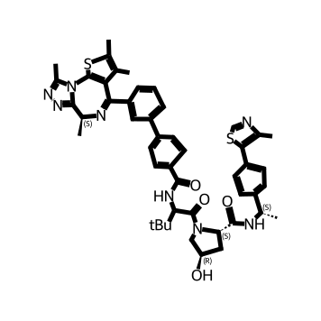 Cc1ncsc1-c1ccc([C@H](C)NC(=O)[C@@H]2C[C@@H](O)CN2C(=O)C(NC(=O)c2ccc(-c3cccc(C4=N[C@@H](C)c5nnc(C)n5-c5sc(C)c(C)c54)c3)cc2)C(C)(C)C)cc1